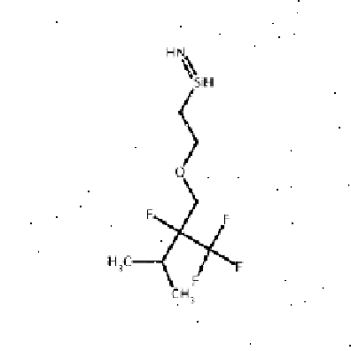 CC(C)C(F)(COCC[SiH]=N)C(F)(F)F